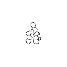 O=C1SC(Cc2ccccc2)C(=O)N1C(c1ccccc1)(c1ccccc1)c1ccccc1